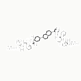 CC[C@H](C)[C@H](NC(=O)OC)C(=O)N1CCC[C@H]1c1nc2cc(-c3ccc4cc(-c5cnc([C@H]6CCCN6C(=O)[C@@H](NC(=O)OC)[C@@H](C)OC)[nH]5)ccc4c3)ccc2[nH]1